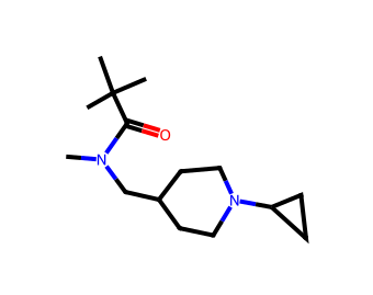 CN(CC1CCN(C2CC2)CC1)C(=O)C(C)(C)C